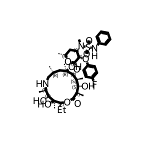 CC[C@H]1OC(=O)[C@H](C)[C@@H](O)[C@H](C)[C@@H](O[C@@H]2O[C@H](C)C[C@H](N(C)S(=O)(=O)Nc3ccccc3)[C@H]2Oc2ccc(F)cc2)[C@](C)(O)C[C@@H](C)CN[C@H](C)[C@@H](O)[C@]1(C)O